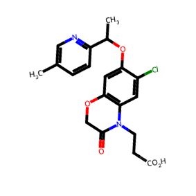 Cc1ccc(C(C)Oc2cc3c(cc2Cl)N(CCC(=O)O)C(=O)CO3)nc1